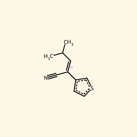 CC(C)/C=C(\C#N)c1ccsc1